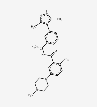 Cc1ccc(N2CCN(C)CC2)cc1C(=O)N[C@H](C)c1cccc(-c2c(C)n[nH]c2C)c1